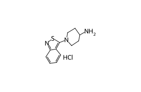 Cl.NC1CCN(c2snc3ccccc23)CC1